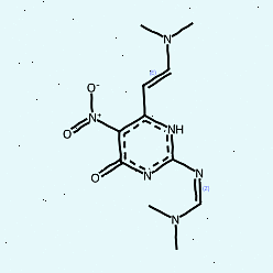 CN(C)/C=N\c1nc(=O)c([N+](=O)[O-])c(/C=C/N(C)C)[nH]1